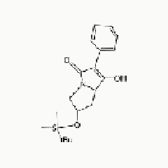 CC(C)(C)[Si](C)(C)OC1CC2C(O)=C(c3ccccc3)C(=O)N2C1